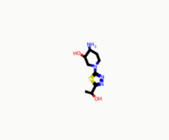 CC(O)c1nnc(N2CCC(N)C(O)C2)s1